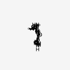 CCc1cc2c(N3CCN(C(=O)CCCOc4cccc5[nH]nnc45)CC3)nc(NC)nc2s1